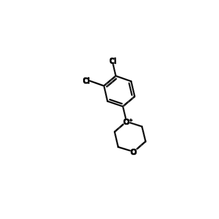 Clc1ccc([O+]2CCOCC2)cc1Cl